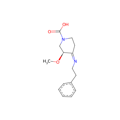 CO[C@H]1CN(C(=O)O)CC/C1=N/CCc1ccccc1